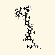 C[C@H](N)CCCc1cc(Cl)c(F)c(-c2cc3cn(-c4ccc(CN[C@H](CCNC(=N)N)CNc5cc(=O)cc[nH]5)cc4)c(=O)nc3[nH]2)c1